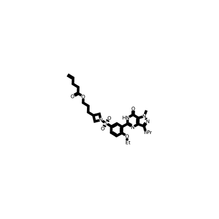 C=CCCC(=O)OCCCC1CN(S(=O)(=O)c2ccc(OCC)c(-c3nc4c(CCC)nn(C)c4c(=O)[nH]3)c2)C1